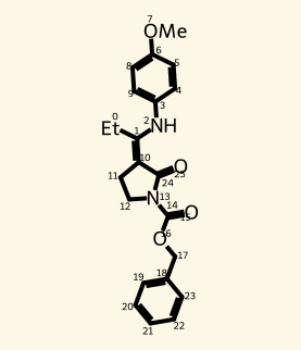 CC/C(Nc1ccc(OC)cc1)=C1\CCN(C(=O)OCc2ccccc2)C1=O